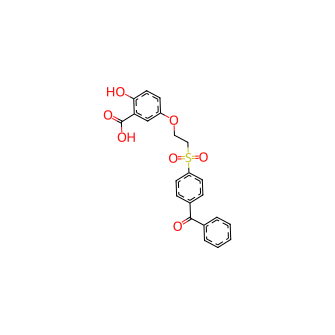 O=C(c1ccccc1)c1ccc(S(=O)(=O)CCOc2ccc(O)c(C(=O)O)c2)cc1